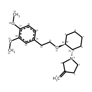 C=C1CCN([C@H]2CCCC[C@@H]2OCCc2ccc(OC)c(OC)c2)C1